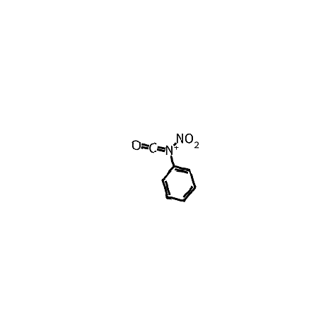 O=C=[N+](c1ccccc1)[N+](=O)[O-]